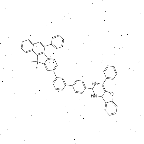 CC1(C)c2cc(-c3cccc(-c4ccc(C5NC(c6ccccc6)=C6Oc7ccccc7C6N5)cc4)c3)ccc2-c2c(-c3ccccc3)cc3ccccc3c21